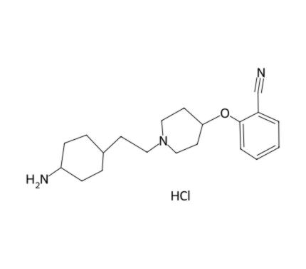 Cl.N#Cc1ccccc1OC1CCN(CCC2CCC(N)CC2)CC1